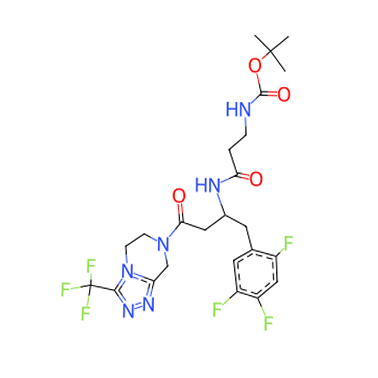 CC(C)(C)OC(=O)NCCC(=O)NC(CC(=O)N1CCn2c(nnc2C(F)(F)F)C1)Cc1cc(F)c(F)cc1F